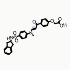 CN(/C=C/C(=O)c1ccc(OCC(=O)O)cc1)c1ccc(S(=O)(=O)NC2Cc3ccccc3C2)cc1